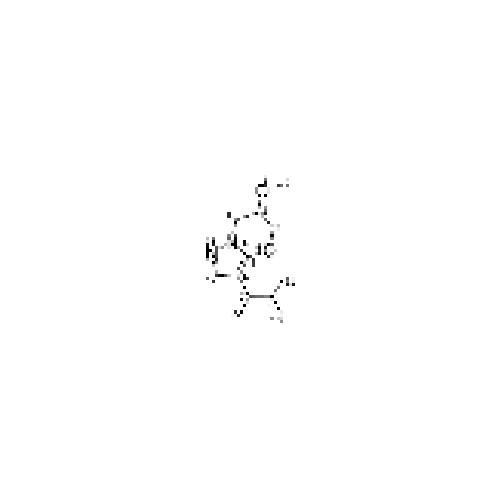 COC1COc2c(C(C)C(C)C)cnn2C1